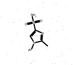 Cc1nc(S(N)(=O)=O)cn1C(C)C